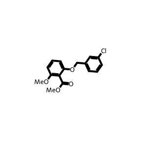 COC(=O)c1c(OC)cccc1OCc1cccc(Cl)c1